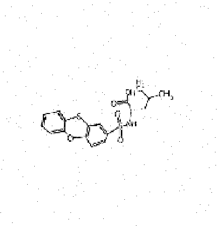 CC(C)C[C@H](NS(=O)(=O)c1ccc2c(c1)Sc1ccccc1O2)C(=O)O